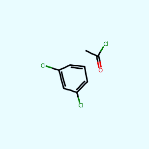 CC(=O)Cl.Clc1cccc(Cl)c1